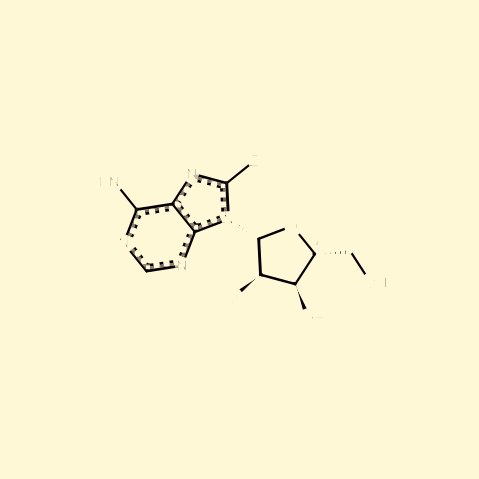 CCc1nc2c(N)ncnc2n1[C@@H]1O[C@H](CO)[C@@H](O)[C@H]1O